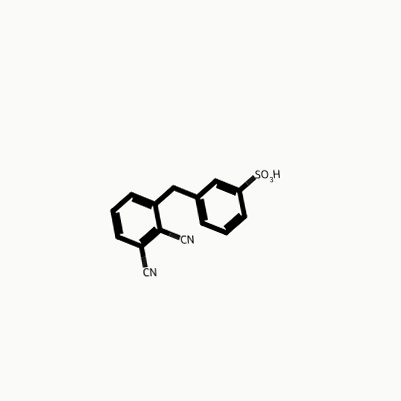 N#Cc1cccc(Cc2cccc(S(=O)(=O)O)c2)c1C#N